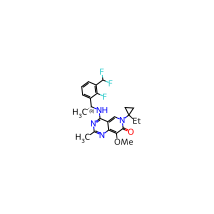 CCC1(n2cc3c(N[C@H](C)c4cccc(C(F)F)c4F)nc(C)nc3c(OC)c2=O)CC1